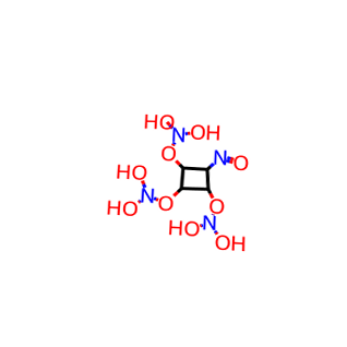 O=NC1C(ON(O)O)C(ON(O)O)C1ON(O)O